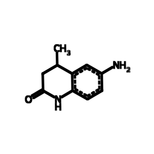 CC1CC(=O)Nc2ccc(N)cc21